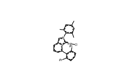 Cc1cc(C)c(-n2cc3cccc(-c4c(C(C)C)cccc4C(C)C)n3[c]2=[Pd][Cl])c(C)c1